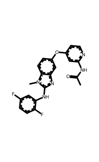 CC(=O)Nc1cc(Oc2ccc3c(c2)nc(Nc2cc(F)ccc2F)n3C)ccn1